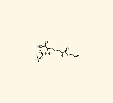 C=CCOC(=O)NCCCC(NC(=O)OC(C)(C)C)C(=O)O